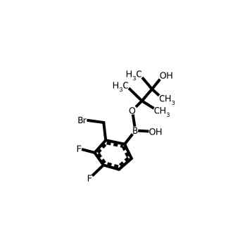 CC(C)(O)C(C)(C)OB(O)c1ccc(F)c(F)c1CBr